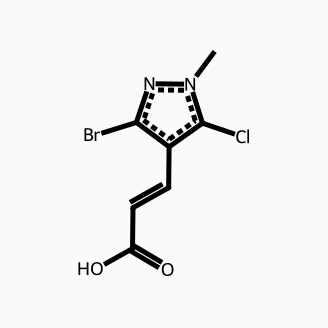 Cn1nc(Br)c(/C=C/C(=O)O)c1Cl